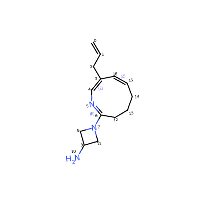 C=CCC1=C/N=C(/N2CC(N)C2)CCC/C=C\1